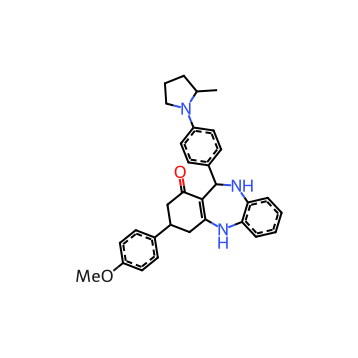 COc1ccc(C2CC(=O)C3=C(C2)Nc2ccccc2NC3c2ccc(N3CCCC3C)cc2)cc1